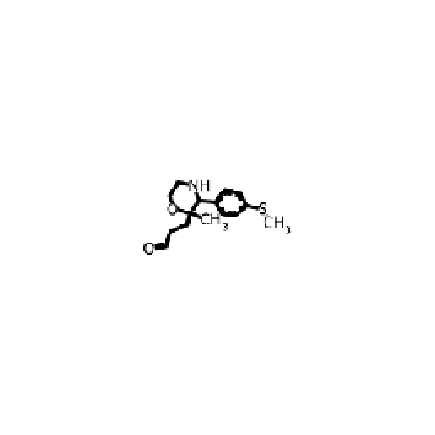 CSc1ccc(C2NCCOC2(C)CCC=O)cc1